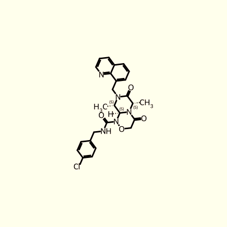 C[C@H]1[C@@H]2N(C(=O)NCc3ccc(Cl)cc3)OCC(=O)N2[C@@H](C)C(=O)N1Cc1cccc2cccnc12